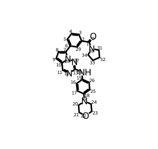 O=C(c1cccc(-c2ccc3cnc(Nc4ccc(N5CCOCC5)cc4)nn23)c1)N1CCCC1